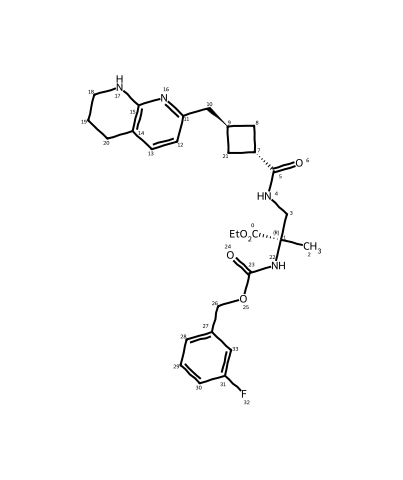 CCOC(=O)[C@@](C)(CNC(=O)[C@H]1C[C@H](Cc2ccc3c(n2)NCCC3)C1)NC(=O)OCc1cccc(F)c1